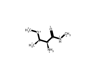 CNC(=O)[C@@H](N)[C@@H](C)OC